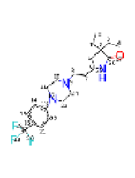 CCC1(CC)CC(CCN2CCN(c3ccc(C(F)(F)F)cc3)CC2)NC1=O